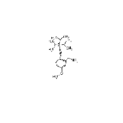 COc1ccc(C#C[Si](C(C)C)(C(C)C)C(C)C)c(CN)c1